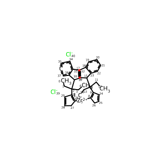 CCC(CC)(C1=[C]([Zr+2][C]2=C(C(CC)(CC)C3C=Cc4ccccc43)C=CC2)CC=C1)C1C=Cc2ccccc21.[Cl-].[Cl-]